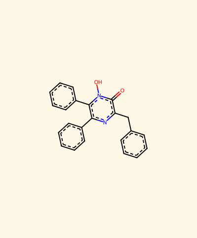 O=c1c(Cc2ccccc2)nc(-c2ccccc2)c(-c2ccccc2)n1O